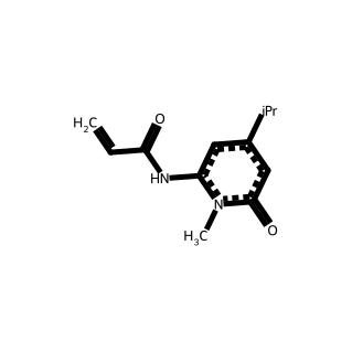 C=CC(=O)Nc1cc(C(C)C)cc(=O)n1C